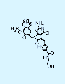 COc1cc(CN2C(=O)C(=Cc3cc(C(=O)NCCO)c[nH]3)c3c(Cl)nc(N)nc32)c(Cl)c(OC)c1OC